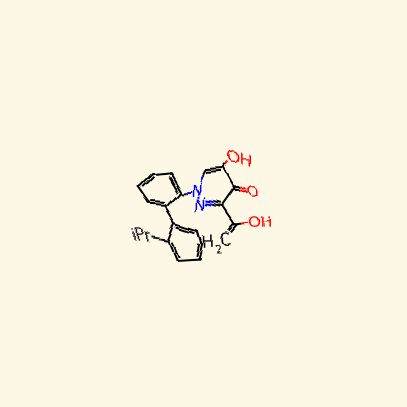 C=C(O)c1nn(-c2ccccc2-c2ccccc2C(C)C)cc(O)c1=O